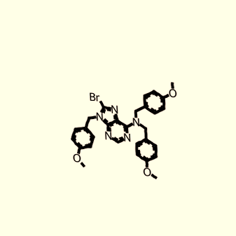 COc1ccc(CN(Cc2ccc(OC)cc2)c2ncnc3c2nc(Br)n3Cc2ccc(OC)cc2)cc1